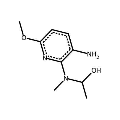 COc1ccc(N)c(N(C)C(C)O)n1